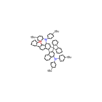 CC(C)(C)c1ccc(N(c2ccc(C(C)(C)C)cc2)c2cc3c(c4ccccc24)-c2c(cc(N(c4ccc(C(C)(C)C)cc4)c4ccc(C(C)(C)C)cc4)c4c2ccc2c5ccccc5oc24)C32c3ccccc3-c3ccccc32)cc1